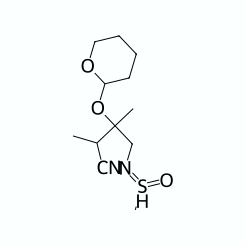 CC(C#N)C(C)(C/N=[SH](/C)=O)OC1CCCCO1